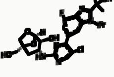 CC(C)n1c(C(C)(C)O)nc2c(F)cc(-c3nc(N[C@@H]4C[C@@]5(CO)CO[C@H](O5)[C@H]4O)ncc3Cl)cc21